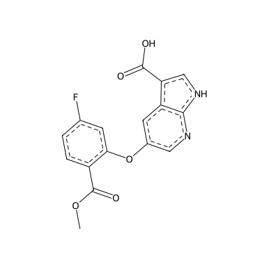 COC(=O)c1ccc(F)cc1Oc1cnc2[nH]cc(C(=O)O)c2c1